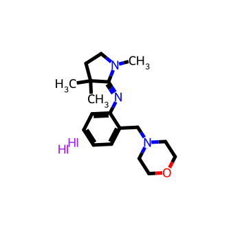 CN1CCC(C)(C)C1=Nc1ccccc1CN1CCOCC1.I.I